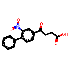 O=C(O)CCC(=O)c1ccc(-c2ccccc2)c([N+](=O)[O-])c1